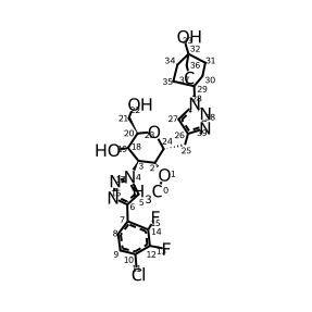 CO[C@@H]1[C@@H](n2cc(-c3ccc(Cl)c(F)c3F)nn2)[C@@H](O)[C@@H](CO)O[C@@H]1Cc1cn(C23CCC(O)(CC2)CC3)nn1